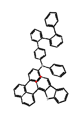 c1ccc(-c2ccccc2-c2ccccc2-c2ccc(N(c3ccccc3)c3ccc(-c4cccc5cccc(-c6cccc7c6sc6ccccc67)c45)cc3)cc2)cc1